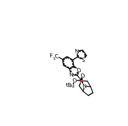 CC(C)(C)OC(=O)N1C2CCC1CN(c1nc3cc(C(F)(F)F)cc(-c4nccs4)c3o1)C2